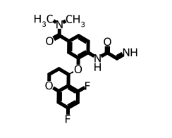 CN(C)C(=O)c1ccc(NC(=O)C=N)c(O[C@H]2CCOc3cc(F)cc(F)c32)c1